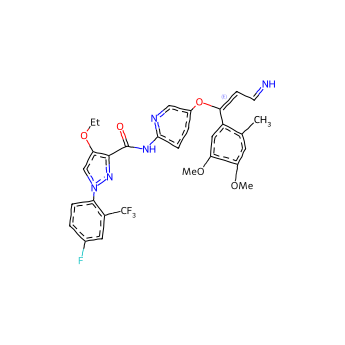 CCOc1cn(-c2ccc(F)cc2C(F)(F)F)nc1C(=O)Nc1ccc(O/C(=C/C=N)c2cc(OC)c(OC)cc2C)cn1